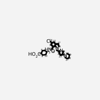 O=C(NC[C@H]1CC[C@H](C(=O)O)CC1)c1cc(Cl)cc2ccn(Cc3ccc(N4CCCCC4)cn3)c12